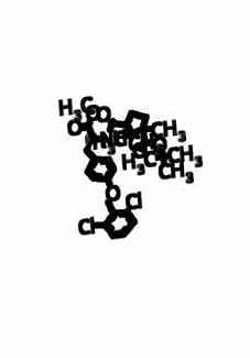 COC(=O)[C@H](Cc1ccc(OCc2c(Cl)cccc2Cl)cc1)NC(=O)C1CCC(C)(C(=O)OC(C)(C)C)C1(C)C